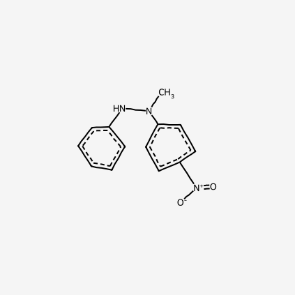 CN(Nc1ccccc1)c1ccc([N+](=O)[O-])cc1